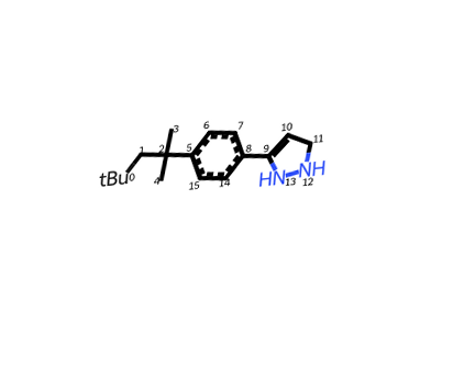 CC(C)(C)CC(C)(C)c1ccc(C2=CCNN2)cc1